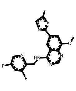 COc1cc(-c2ncc(C)s2)cc2c(NCc3ncc(F)cc3F)ncnc12